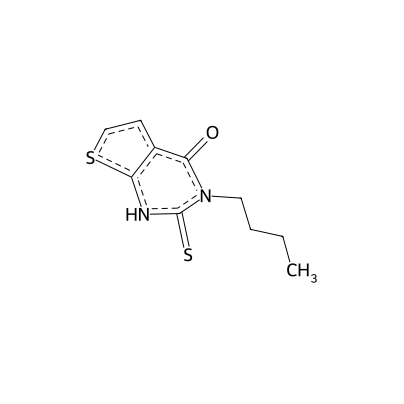 CCCCn1c(=S)[nH]c2sccc2c1=O